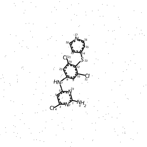 Nc1nc(Cl)cc(Nc2cc(Cl)c(Sc3ccncc3)c(Cl)c2)n1